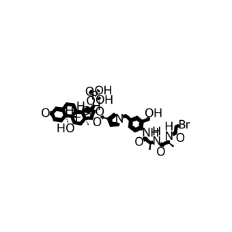 C[C@H](NC(=O)CBr)C(=O)N[C@@H](C)C(=O)Nc1ccc(Cn2ccc([C@@H]3O[C@@H]4C[C@H]5[C@@H]6CCC7=CC(=O)C=C[C@]7(C)[C@@]6(F)[C@@H](O)C[C@]5(C)[C@]4(C(=O)COP(=O)(O)O)O3)c2)cc1CO